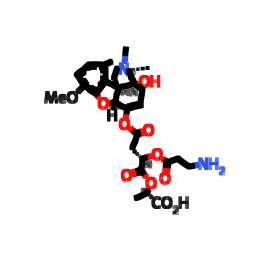 COc1ccc(C)c2c1O[C@H]1C(OC(=O)C[C@H](OC(=O)CCN)C(=O)O[C@@H](C)C(=O)O)=CC[C@@]3(O)[C@@H](C)N(C)CC[C@]213